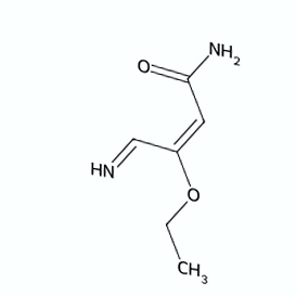 CCO/C(C=N)=C/C(N)=O